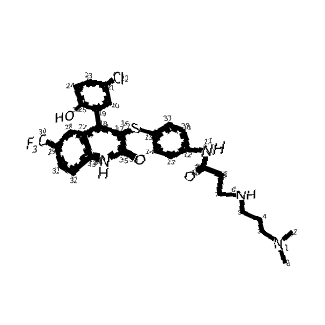 CN(C)CCCNCCC(=O)Nc1ccc(Sc2c(-c3cc(Cl)ccc3O)c3cc(C(F)(F)F)ccc3[nH]c2=O)cc1